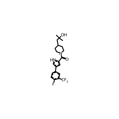 CC(C)(O)CC1CCN(C(=O)c2cc(-c3ccc(F)c(C(F)(F)F)c3)c[nH]2)CC1